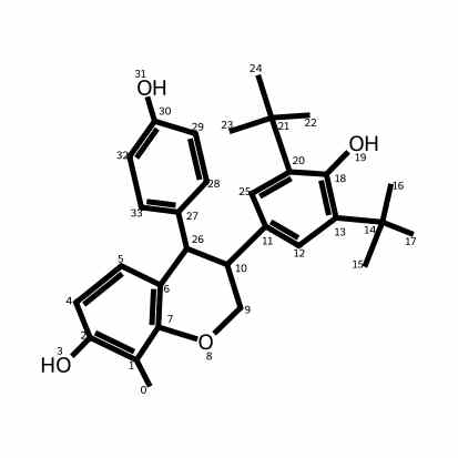 Cc1c(O)ccc2c1OCC(c1cc(C(C)(C)C)c(O)c(C(C)(C)C)c1)C2c1ccc(O)cc1